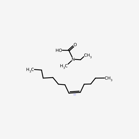 CCCC/C=C\CCCCCC.CCN(C)C(=O)O